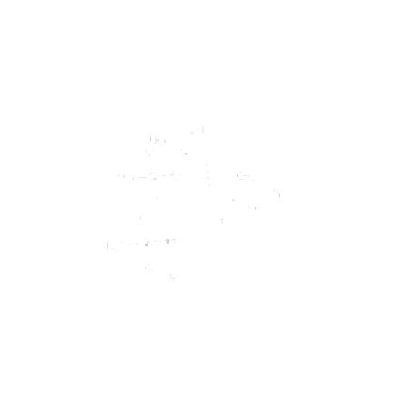 CC(C)O[Si](C)(CC[Si](O)(O)O[Si](O)(O)CC[Si](C)(OC(C)C)C(C)C)C(C)C